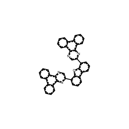 c1cc(-c2cnc3c4ccccc4c4ccccc4c3n2)c2oc3c(-c4cnc5c6ccccc6c6ccccc6c5n4)cccc3c2c1